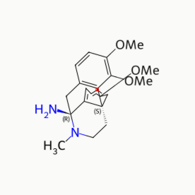 COC1=C=CC=C2[C@]3(CCN(C)[C@]2(N)Cc2ccc(OC)c(OC)c23)C1